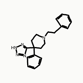 c1ccc(CCN2CCC(c3ccccc3)(c3nn[nH]n3)CC2)cc1